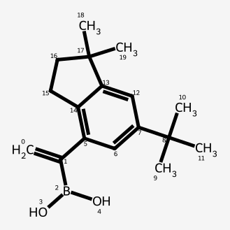 C=C(B(O)O)c1cc(C(C)(C)C)cc2c1CCC2(C)C